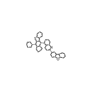 c1ccc(-c2c3ccccc3c(-c3cccc4nc(-c5ccc6oc7ccccc7c6c5)ccc34)c3c2sc2ccccc23)cc1